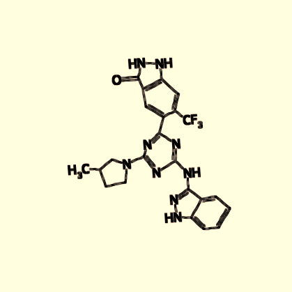 CC1CCN(c2nc(Nc3n[nH]c4ccccc34)nc(-c3cc4c(=O)[nH][nH]c4cc3C(F)(F)F)n2)C1